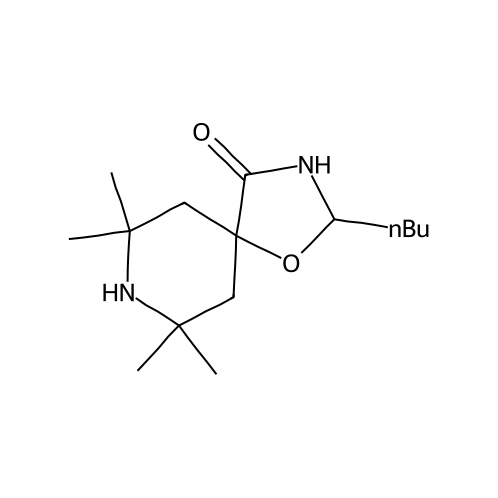 CCCCC1NC(=O)C2(CC(C)(C)NC(C)(C)C2)O1